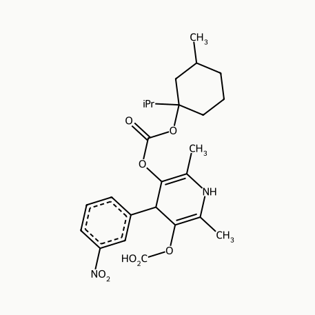 CC1=C(OC(=O)O)C(c2cccc([N+](=O)[O-])c2)C(OC(=O)OC2(C(C)C)CCCC(C)C2)=C(C)N1